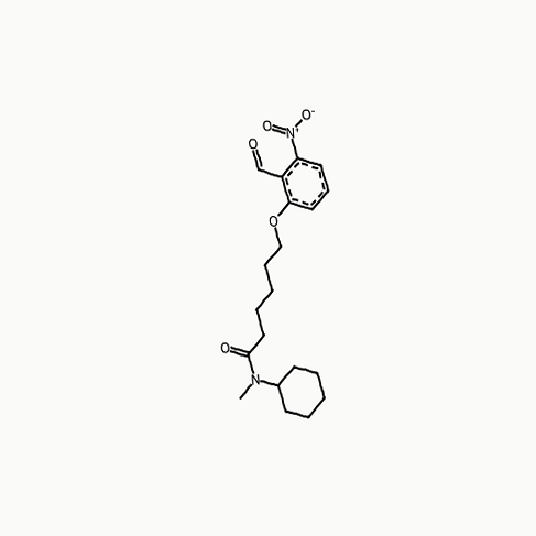 CN(C(=O)CCCCCOc1cccc([N+](=O)[O-])c1C=O)C1CCCCC1